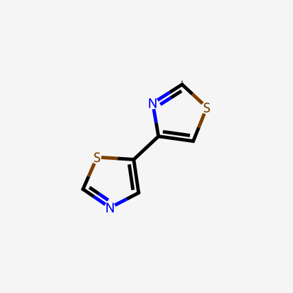 [c]1nc(-c2cncs2)cs1